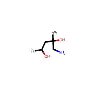 CCCC(O)(CN)CC(O)C(C)C